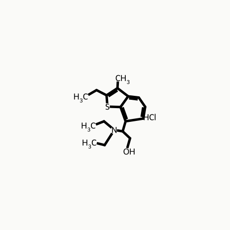 CCc1sc2c(C(CO)N(CC)CC)cccc2c1C.Cl